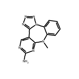 CN1c2ccccc2-n2nnnc2-c2cnc(N)nc21